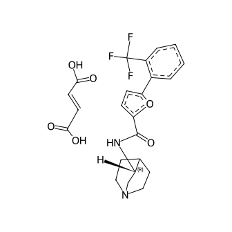 O=C(N[C@H]1CN2CCC1CC2)c1ccc(-c2ccccc2C(F)(F)F)o1.O=C(O)C=CC(=O)O